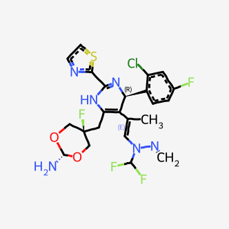 C=NN(/C=C(\C)C1=C(C[C@]2(F)CO[C@H](N)OC2)NC(c2nccs2)=N[C@H]1c1ccc(F)cc1Cl)C(F)F